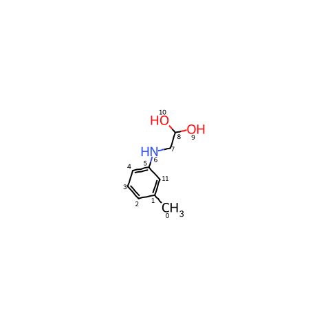 Cc1cccc(NCC(O)O)c1